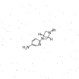 CC(C)N1C[C@@H]2C[C@H]1CN2c1ccc(N)cn1